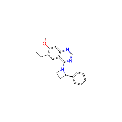 CCc1cc2c(N3CC[C@@H]3c3ccccc3)ncnc2cc1OC